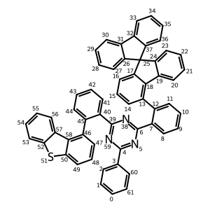 c1ccc(-c2nc(-c3ccccc3-c3cccc4c3-c3ccccc3C43c4ccccc4-c4ccccc43)nc(-c3ccccc3-c3cccc4sc5ccccc5c34)n2)cc1